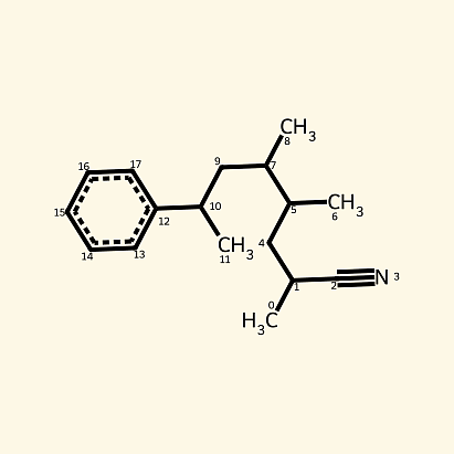 CC(C#N)CC(C)C(C)CC(C)c1ccccc1